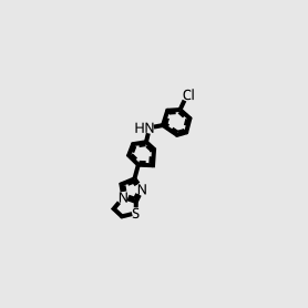 Clc1cccc(Nc2ccc(-c3cn4c(n3)SCC4)cc2)c1